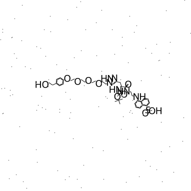 CN1NN(CCOCCOCCOCCOc2ccc(CCO)cc2)C=C1CC(NC(=O)OC(C)(C)C)C(=O)NCCNc1cccc2c(S(=O)O)cccc12